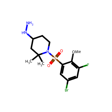 COc1c(F)cc(Br)cc1S(=O)(=O)N1CCC(NN)CC1(C)C